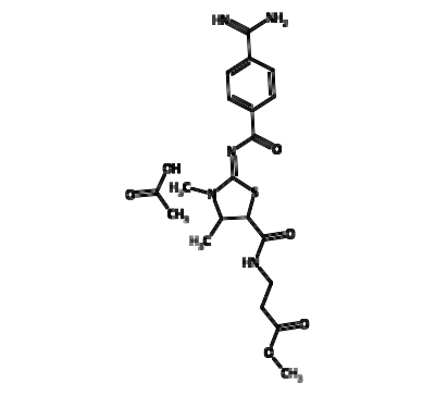 CC(=O)O.COC(=O)CCNC(=O)C1SC(=NC(=O)c2ccc(C(=N)N)cc2)N(C)C1C